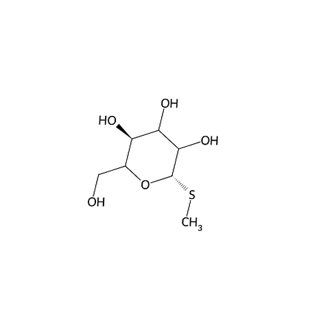 CS[C@@H]1OC(CO)[C@@H](O)C(O)C1O